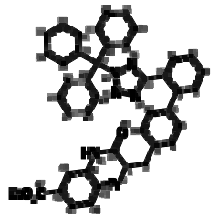 CCCC(Cc1ccc(-c2ccccc2-c2nnn(C(c3ccccc3)(c3ccccc3)c3ccccc3)n2)cc1)C(=O)Nc1cccc(C(=O)OCC)c1